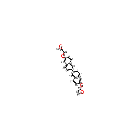 c1cc2cc(-c3ccc4cc(OC5CCO5)ccc4c3)ccc2cc1OCC1CO1